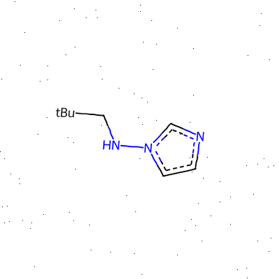 CC(C)(C)CNn1ccnc1